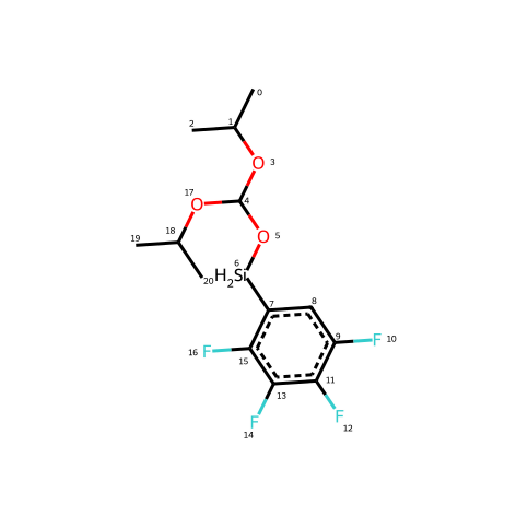 CC(C)OC(O[SiH2]c1cc(F)c(F)c(F)c1F)OC(C)C